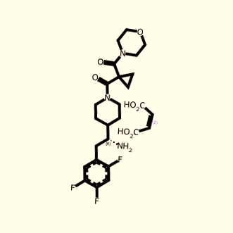 N[C@H](Cc1cc(F)c(F)cc1F)C1CCN(C(=O)C2(C(=O)N3CCOCC3)CC2)CC1.O=C(O)/C=C\C(=O)O